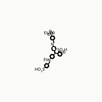 CCOS(=O)(=O)c1ccc(CN=C2C=CC(=C(c3ccc(N(CC)Cc4ccc(S(=O)(=O)O)cc4)cc3)c3ccccc3S(=O)(=O)O)C=C2)cc1.O